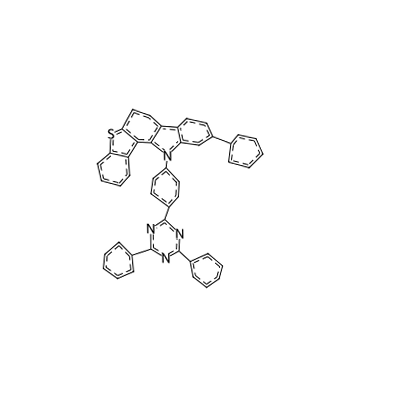 c1ccc(-c2ccc3c4ccc5sc6ccccc6c5c4n(-c4ccc(-c5nc(-c6ccccc6)nc(-c6ccccc6)n5)cc4)c3c2)cc1